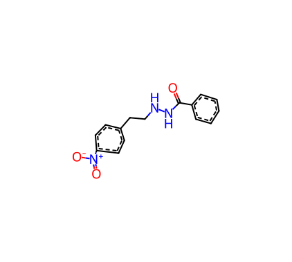 O=C(NNCCc1ccc([N+](=O)[O-])cc1)c1ccccc1